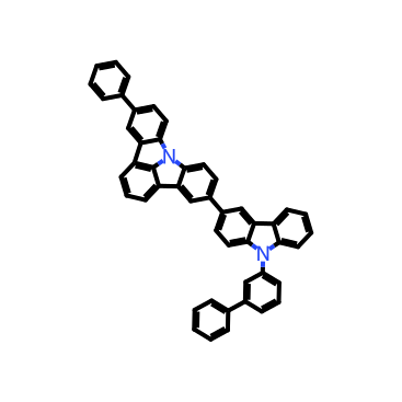 c1ccc(-c2cccc(-n3c4ccccc4c4cc(-c5ccc6c(c5)c5cccc7c8cc(-c9ccccc9)ccc8n6c75)ccc43)c2)cc1